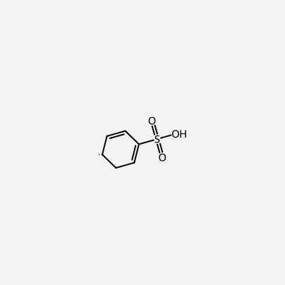 O=S(=O)(O)C1=CC[CH]C=C1